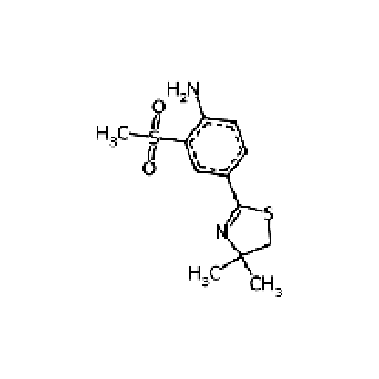 CC1(C)CSC(c2ccc(N)c(S(C)(=O)=O)c2)=N1